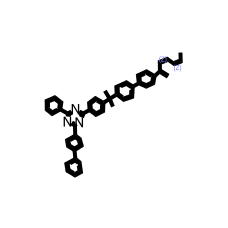 C=C(/C=C\C=C/C)c1ccc(-c2ccc(C(C)(C)c3ccc(-c4nc(-c5ccccc5)nc(-c5ccc(-c6ccccc6)cc5)n4)cc3)cc2)cc1